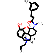 C=CCN1CC[C@]23c4c5ccc(O)c4O[C@H]2[C@@H](N(C)C(=O)C=Cc2cccc(C)c2)CC[C@H]3[C@H]1C5